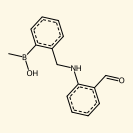 CB(O)c1ccccc1CNc1ccccc1C=O